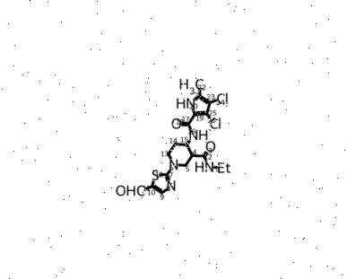 CCNC(=O)C1CN(c2ncc(C=O)s2)CCC1NC(=O)c1[nH]c(C)c(Cl)c1Cl